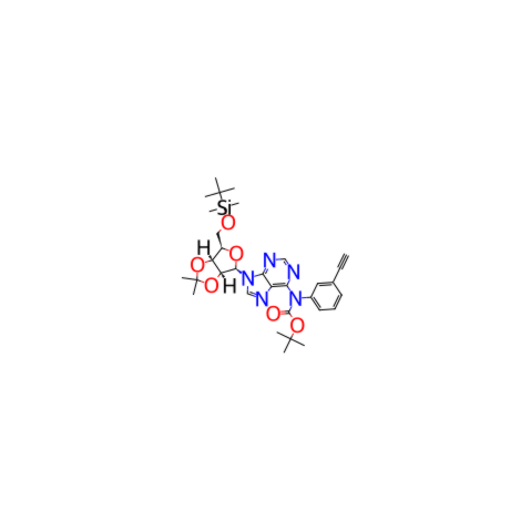 C#Cc1cccc(N(C(=O)OC(C)(C)C)c2ncnc3c2ncn3[C@@H]2O[C@H](CO[Si](C)(C)C(C)(C)C)[C@H]3OC(C)(C)O[C@H]32)c1